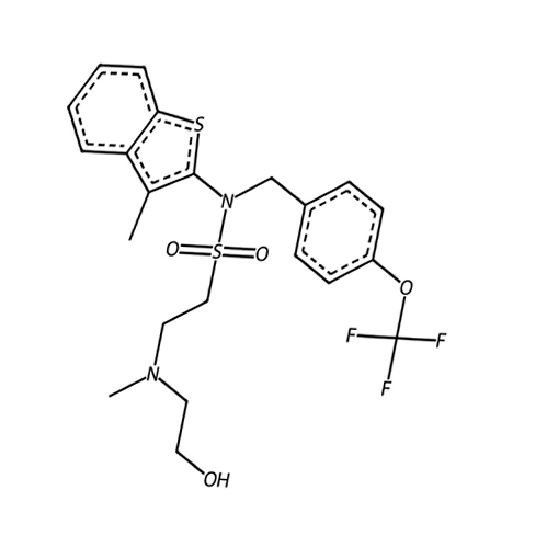 Cc1c(N(Cc2ccc(OC(F)(F)F)cc2)S(=O)(=O)CCN(C)CCO)sc2ccccc12